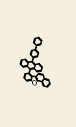 c1ccc(-c2ccc(-c3c4ccccc4c(-c4cccc5oc6c7ccccc7ccc6c45)c4ccccc34)cc2)cc1